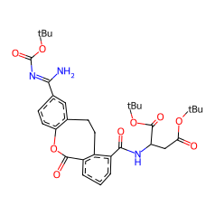 CC(C)(C)OC(=O)CC(NC(=O)c1cccc2c1CCc1cc(C(N)=NC(=O)OC(C)(C)C)ccc1OC2=O)C(=O)OC(C)(C)C